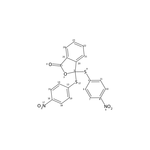 O=C1OC(Sc2ccc([N+](=O)[O-])cc2)(Sc2ccc([N+](=O)[O-])cc2)c2ccccc21